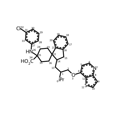 CC(C)C(COc1ccnc2ccsc12)CC1Cc2ccccc2C12CCC(Nc1cccc(Cl)c1)(C(=O)O)CC2